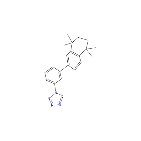 CC1(C)CCC(C)(C)c2cc(-c3cccc(-n4cnnn4)c3)ccc21